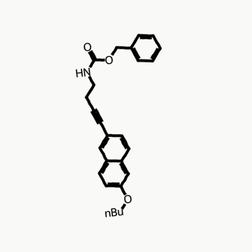 CCCCOc1ccc2cc(C#CCCNC(=O)OCc3ccccc3)ccc2c1